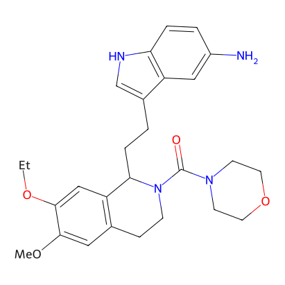 CCOc1cc2c(cc1OC)CCN(C(=O)N1CCOCC1)C2CCc1c[nH]c2ccc(N)cc12